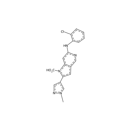 Cn1cc(-c2cc3cnc(Nc4ccccc4Cl)cc3n2C(=O)O)cn1